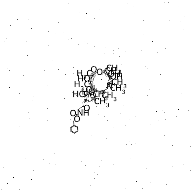 CC[C@H]1OC(=O)[C@H](C)[C@@H](O)[C@H](C)[C@@H](O[C@@H]2O[C@H](C)C[C@H](CC(=O)CNC(=O)OCc3ccccc3)[C@H]2O)[C@](C)(O)C[C@@H](C)CN(C)[C@H](C)[C@@H](O)[C@]1(C)O